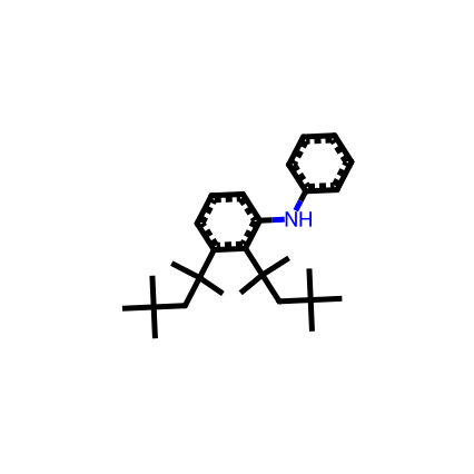 CC(C)(C)CC(C)(C)c1cccc(Nc2ccccc2)c1C(C)(C)CC(C)(C)C